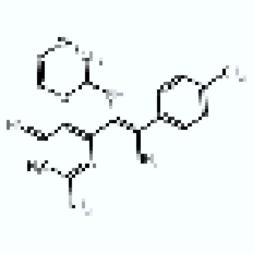 C/C=C\OC(C)NC(=C(N)c1ccc(C)cc1)C(=C/C=N)/N=C(\C)N